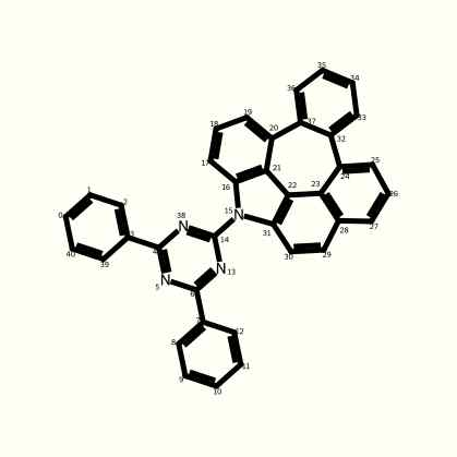 c1ccc(-c2nc(-c3ccccc3)nc(-n3c4cccc5c4c4c6c(cccc6ccc43)-c3ccccc3-5)n2)cc1